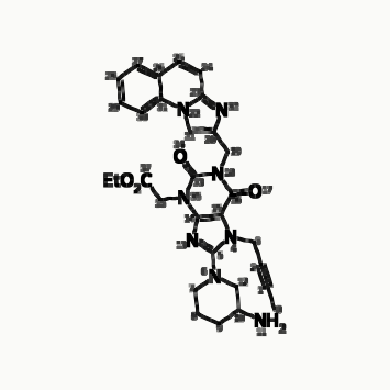 CC#CCn1c(N2CCCC(N)C2)nc2c1c(=O)n(Cc1cn3c(ccc4ccccc43)n1)c(=O)n2CC(=O)OCC